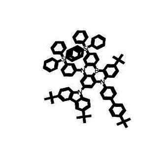 CC(C)(C)c1ccc(-c2ccc(N3c4ccc(C(C)(C)C)cc4B4c5ccc([Si](c6ccccc6)(c6ccccc6)c6ccccc6)cc5N(c5cccc([Si](c6ccccc6)(c6ccccc6)c6ccccc6)c5)c5cc(-n6c7ccc(C(C)(C)C)cc7c7cc(C(C)(C)C)ccc76)cc3c54)cc2)cc1